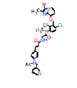 CC(=O)N(Cc1cccnc1)c1ccc(C=CC(=O)NCC(=O)N(C)c2ccc(Cl)c(COc3cccn4c(Br)c(C)nc34)c2Cl)cc1